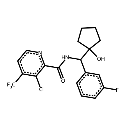 O=C(NC(c1cccc(F)c1)C1(O)CCCC1)c1nccc(C(F)(F)F)c1Cl